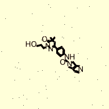 CC1(C)CC(c2ccc(NC(=O)N3Cc4ccncc4C3)cc2)=NN(CCCO)C1=O